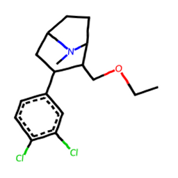 CCOCC1C(c2ccc(Cl)c(Cl)c2)CC2CCC1N2C